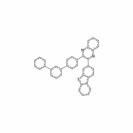 c1ccc(-c2cccc(-c3ccc(-c4nc5ccccc5nc4-c4ccc5c(c4)sc4ccccc45)cc3)c2)cc1